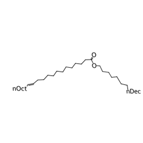 CCCCCCCCC=CCCCCCCCCCCCC(=O)OCCCCCCCCCCCCCCCCC